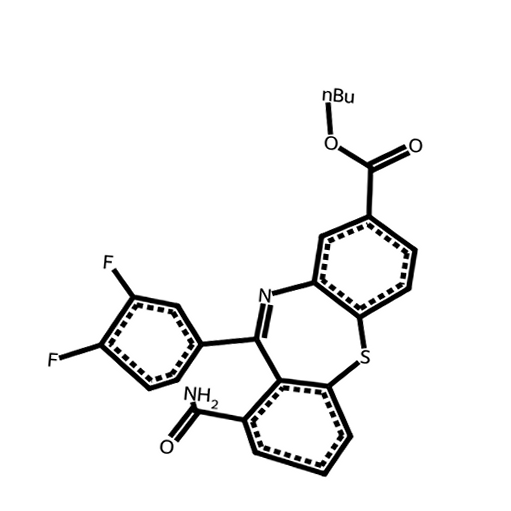 CCCCOC(=O)c1ccc2c(c1)N=C(c1ccc(F)c(F)c1)c1c(cccc1C(N)=O)S2